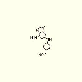 Cn1cnc2c(N)cc(Nc3ccc(CC#N)cc3)cc21